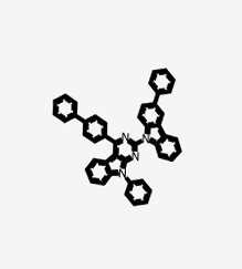 c1ccc(-c2ccc(-c3nc(-n4c5ccccc5c5cc(-c6ccccc6)ccc54)nc4c3c3ccccc3n4-c3ccccc3)cc2)cc1